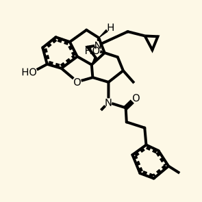 Cc1cccc(CCC(=O)N(C)C2C(C)C[C@@]3(O)[C@H]4Cc5ccc(O)c6c5[C@@]3(CCN4CC3CC3)C2O6)c1